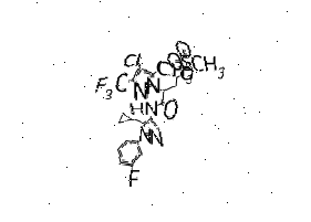 Cc1c(Cl)c(C(F)(F)F)nn1C(CCOS(C)(=O)=O)C(=O)Nc1cnn(-c2cccc(F)c2)c1C1CC1